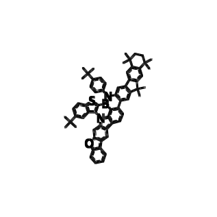 CC(C)(C)c1ccc(N2B3c4sc5ccc(C(C)(C)C)cc5c4-n4c5cc6oc7ccccc7c6cc5c5ccc(c3c54)-c3cc4c(cc32)-c2cc3c(cc2C4(C)C)C(C)(C)CCC3(C)C)cc1